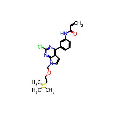 C=CC(=O)Nc1cccc(-c2nc(Cl)nc3c2ccn3COCCS(C)(C)C)c1